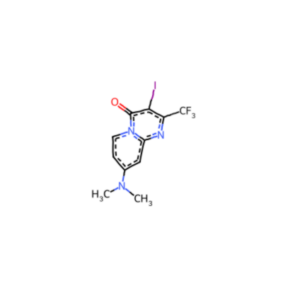 CN(C)c1ccn2c(=O)c(I)c(C(F)(F)F)nc2c1